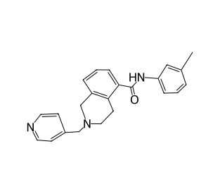 Cc1cccc(NC(=O)c2cccc3c2CCN(Cc2ccncc2)C3)c1